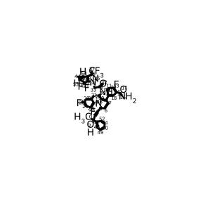 CC(O)(C#Cc1ccc(-c2ccc(F)c(C(N)=O)c2)c([C@H](Cc2cc(F)cc(F)c2)NC(=O)Cn2nc(C(F)(F)F)c3c2C(F)(F)[C@@H]2C[C@H]32)n1)c1ccccc1